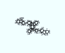 CC1(C)c2ccccc2-c2ccc(-c3ccc4c(c3)c3c5c6ccccc6n6c7ccc(-c8ccc9c(c8)C(C)(C)c8ccccc8-9)cc7c(c7c8ccccc8n4c73)c56)cc21